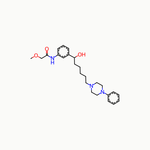 COCC(=O)Nc1cccc(C(O)CCCCCN2CCN(c3ccccc3)CC2)c1